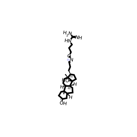 C[C@]12CC[C@H](O)C[C@H]1CC[C@@H]1[C@@H]2CC[C@]2(C)[C@@H](CC/C=N/OCCCNC(=N)N)CC[C@]12O